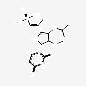 COC1C(OC(C)C)[C@@H](/C(C)=C/P(=O)(O)O)O[C@H]1n1ccc(=O)[nH]c1=O